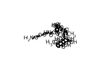 COc1cc(C(C)OC(=O)N2COC3C(C)OC(OC4CC(O)(C(=O)CO)Cc5c(O)c6c(c(O)c54)C(=O)c4c(OC)cccc4C6=O)CC32)c([N+](=O)[O-])cc1OCC(=O)NCCOCCOCCOCCN